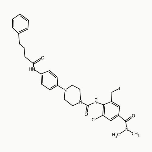 CN(C)C(=O)c1cc(Cl)c(NC(=O)N2CCN(c3ccc(NC(=O)CCCc4ccccc4)cc3)CC2)c(CI)c1